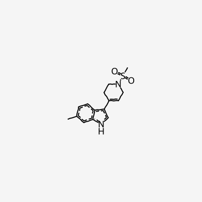 Cc1ccc2c(C3=CCN(S(C)(=O)=O)CC3)c[nH]c2c1